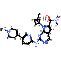 CC(C)N1CC=C(c2ccc(Nc3ncc4cc(C(=O)N(C)C)n(C56CC(C5)[C@H]6C)c4n3)nc2)CC1